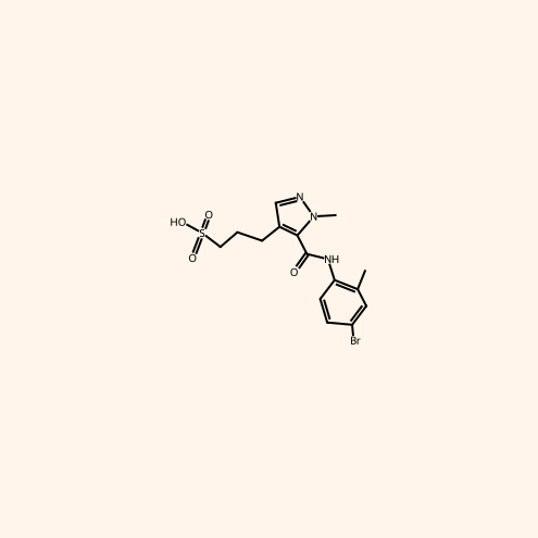 Cc1cc(Br)ccc1NC(=O)c1c(CCCS(=O)(=O)O)cnn1C